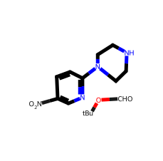 CC(C)(C)OC=O.O=[N+]([O-])c1ccc(N2CCNCC2)nc1